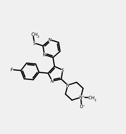 CSc1nccc(-c2sc(N3CC[N+](C)([O-])CC3)nc2-c2ccc(F)cc2)n1